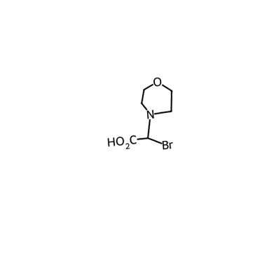 O=C(O)C(Br)N1CCOCC1